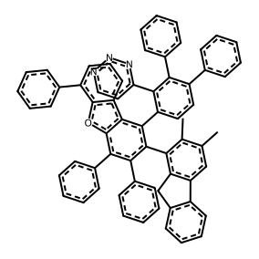 Cc1cc2c(c(-c3c(-c4ccccc4)c(-c4ccccc4)c4oc5c(-c6ccccc6)cccc5c4c3-c3ccc(-c4ccccc4)c(-c4ccccc4)c3-c3ccnnn3)c1C)Cc1ccccc1-2